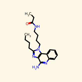 CCCCc1nc2c(N)nc3ccccc3c2n1CCCCNC(=O)CC